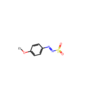 CCOc1ccc(N=N[SH](=O)=O)cc1